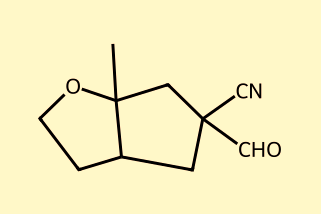 CC12CC(C#N)(C=O)CC1CCO2